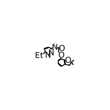 CCc1ccc(N(C)C(=O)COc2cccc3c2OC(C)(C)C3)nn1